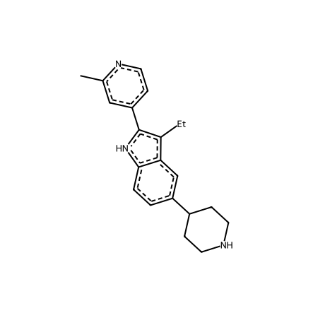 CCc1c(-c2ccnc(C)c2)[nH]c2ccc(C3CCNCC3)cc12